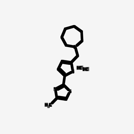 Cc1csc(-c2ccc(CN3CCCCCC3)s2)n1.Cl.Cl